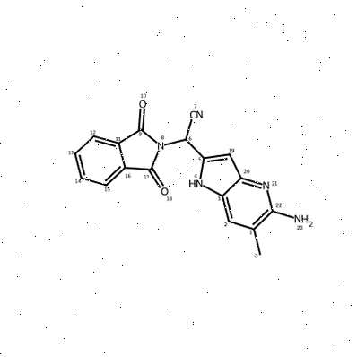 Cc1cc2[nH]c(C(C#N)N3C(=O)c4ccccc4C3=O)cc2nc1N